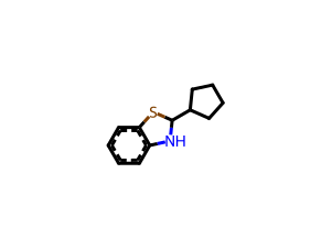 c1ccc2c(c1)NC(C1CCCC1)S2